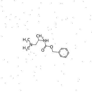 CC(CN(C)C)NC(=O)OCc1ccccc1